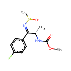 C[C@H](NC(=O)OC(C)(C)C)C(=N[S@+]([O-])C(C)(C)C)c1ccc(F)cc1